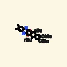 CCCCC12c3ccccc3C(CCCC)(c3cc(OC)c(OC)cc31)c1cc3nc4cc(C)c(C)cc4nc3cc12